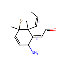 C/C=C\C1(C)/C(=C\C=O)C(N)C=CC1(C)Br